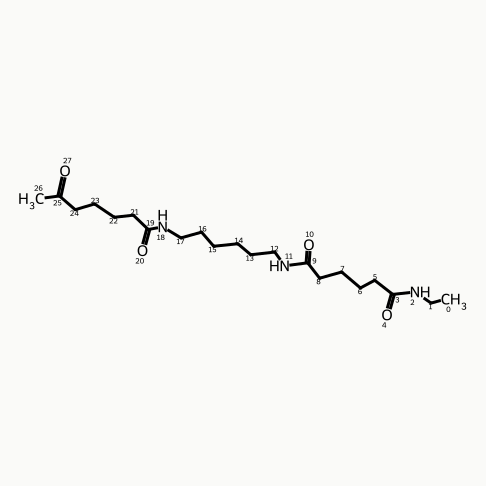 CCNC(=O)CCCCC(=O)NCCCCCCNC(=O)CCCCC(C)=O